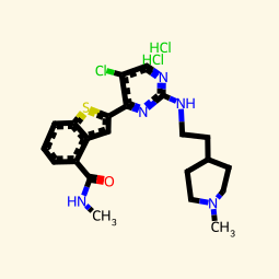 CNC(=O)c1cccc2sc(-c3nc(NCCC4CCN(C)CC4)ncc3Cl)cc12.Cl.Cl